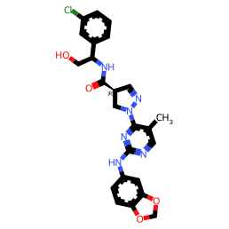 Cc1cnc(Nc2ccc3c(c2)OCO3)nc1N1C[C@@H](C(=O)NC(CO)c2cccc(Cl)c2)C=N1